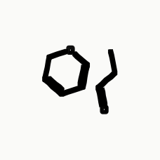 C1=CCOC=C1.CCC=O